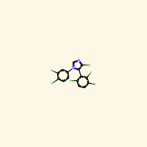 Fc1cc(-n2cnc(Cl)c2-c2c(F)ccc(F)c2F)ccc1Cl